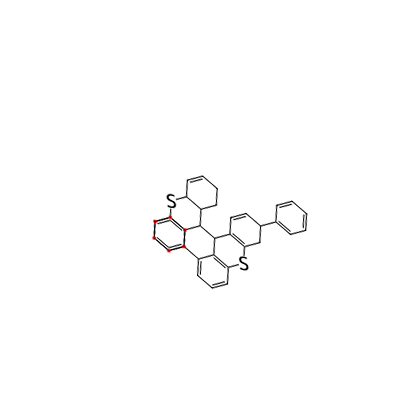 C1=CCC(c2cccc3c2C(C2C4=C(CCC=C4)SC4C=CCCC42)C2=C(CC(c4ccccc4)C=C2)S3)C=C1